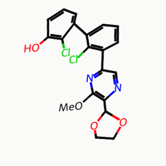 COc1nc(-c2cccc(-c3cccc(O)c3Cl)c2Cl)cnc1C1OCCO1